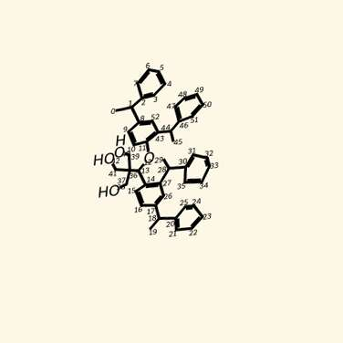 CC(c1ccccc1)c1ccc(OC(c2ccc(C(C)c3ccccc3)cc2C(C)c2ccccc2)C(CO)(CO)CO)c(C(C)c2ccccc2)c1